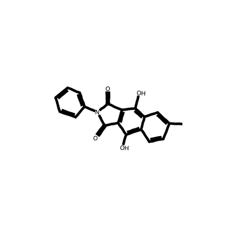 Cc1ccc2c(O)c3c(c(O)c2c1)C(=O)N(c1ccccc1)C3=O